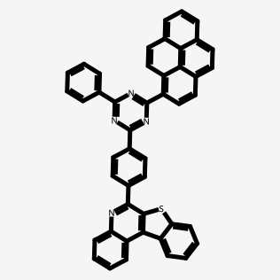 c1ccc(-c2nc(-c3ccc(-c4nc5ccccc5c5c4sc4ccccc45)cc3)nc(-c3ccc4ccc5cccc6ccc3c4c56)n2)cc1